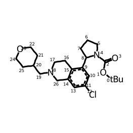 CC(C)(C)OC(=O)N1CCCC1c1cc(Cl)cc2c1CCN(CC1CCOCC1)C2